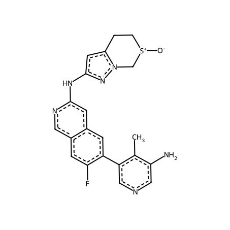 Cc1c(N)cncc1-c1cc2cc(Nc3cc4n(n3)C[S+]([O-])CC4)ncc2cc1F